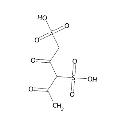 CC(=O)C(C(=O)CS(=O)(=O)O)S(=O)(=O)O